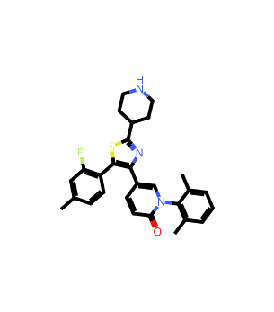 Cc1ccc(-c2sc(C3CCNCC3)nc2-c2ccc(=O)n(-c3c(C)cccc3C)c2)c(F)c1